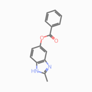 Cc1nc2cc(OC(=O)c3ccccc3)ccc2[nH]1